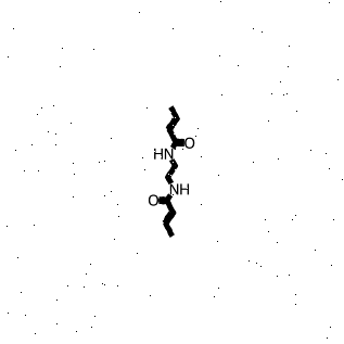 CC=CC(=O)NCCNC(=O)C=CC